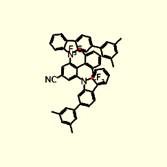 Cc1cc(C)cc(-c2ccc3c4ccccc4n(-c4cc(C#N)cc(-n5c6ccccc6c6ccc(-c7cc(C)cc(C)c7)cc65)c4-c4c(C(F)(F)F)cccc4C(F)(F)F)c3c2)c1